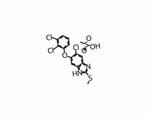 CS(=O)(=O)O.CSc1nc2cc(Cl)c(Oc3cccc(Cl)c3Cl)cc2[nH]1